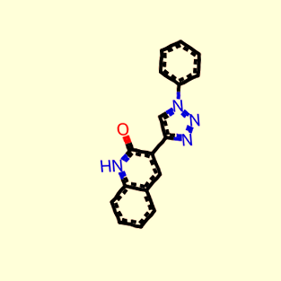 O=c1[nH]c2ccccc2cc1-c1cn(-c2ccccc2)nn1